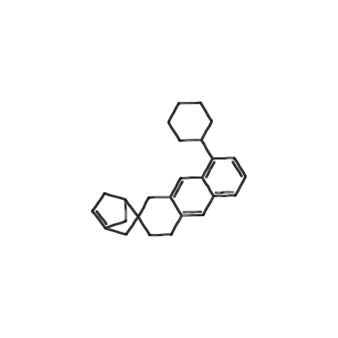 C1=C2CC(C1)C1(CCc3cc4cccc(C5CCCCC5)c4cc3C1)C2